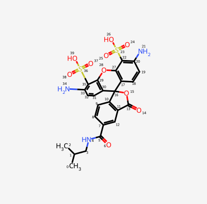 CC(C)CNC(=O)c1ccc2c(c1)C(=O)OC21c2ccc(N)c(S(=O)(=O)O)c2Oc2c1ccc(N)c2S(=O)(=O)O